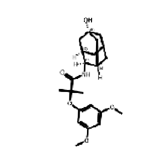 COc1cc(OC)cc(OC(C)(C)C(=O)N[C@H]2[C@@H]3CC4C[C@H]2C[C@](O)(C4)C3)c1